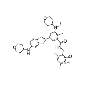 CCN(c1cc(N2Cc3ccc(NC4CCOCC4)cc3C2)cc(C(=O)NCc2c(C)cc(C)[nH]c2=O)c1C)C1CCOCC1